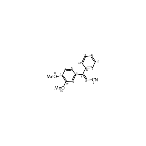 COc1ccc(C(=CC#N)c2ccccc2)cc1OC